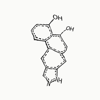 Oc1cccc2c1c(O)cc1cc3[nH]ncc3cc12